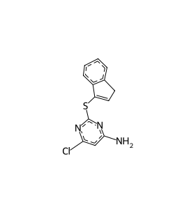 Nc1cc(Cl)nc(SC2=CCc3ccccc32)n1